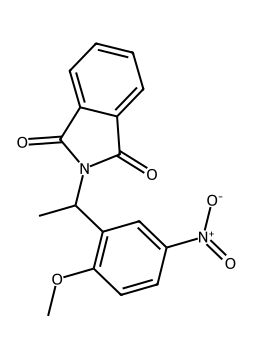 COc1ccc([N+](=O)[O-])cc1C(C)N1C(=O)c2ccccc2C1=O